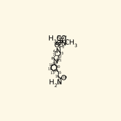 CN(CC(=O)N1CC2CN(c3cccc(CCC(N)=O)c3)CC2C1)S(C)(=O)=O